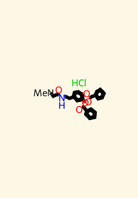 CNCC(=O)NCCc1ccc(OC(=O)c2ccccc2)c(OC(=O)c2ccccc2)c1.Cl